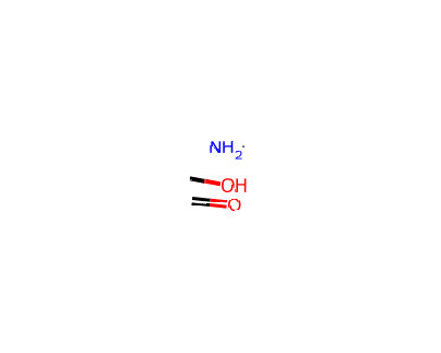 C=O.CO.[NH2]